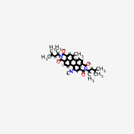 [C-]#[N+]c1cc2c3c(ccc4c5c(C)cc6c7c(ccc(c1c34)c75)C(=O)N(C(C)CC(C)C)C6=O)C(=O)N(C(C)CC(C)C)C2=O